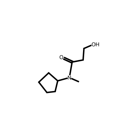 CN(C(=O)CCO)C1CCCC1